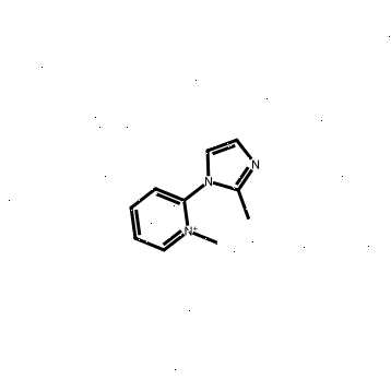 Cc1nccn1-c1cccc[n+]1C